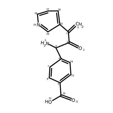 C=C(C(=O)C(N)c1ccc(C(=O)O)cc1)c1cccnc1